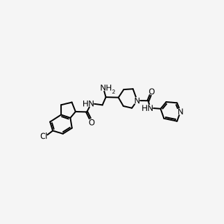 NC(CNC(=O)C1CCc2cc(Cl)ccc21)C1CCN(C(=O)Nc2ccncc2)CC1